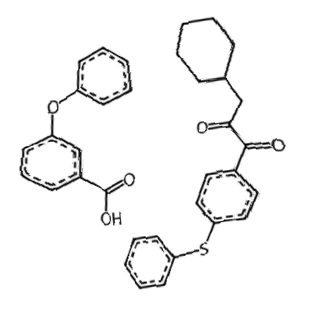 O=C(CC1CCCCC1)C(=O)c1ccc(Sc2ccccc2)cc1.O=C(O)c1cccc(Oc2ccccc2)c1